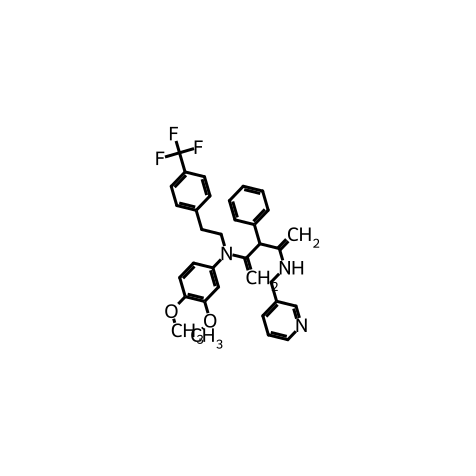 C=C(NCc1cccnc1)C(C(=C)N(CCc1ccc(C(F)(F)F)cc1)c1ccc(OC)c(OC)c1)c1ccccc1